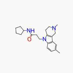 Cc1ccc2c(c1)c1c(n2CCC(=O)NC2CCCC2)CCN(C)C1